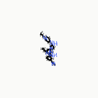 CCCCN1CCC(NC2CCN(c3cc(CCC)nc(Nc4cccc(C#N)c4)n3)C2)CC1